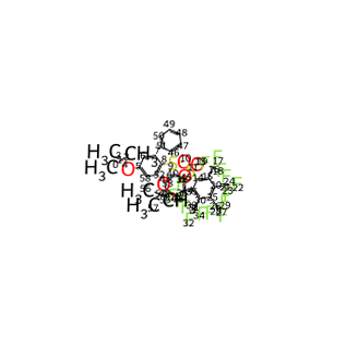 CC(C)(C)Oc1ccc(S(OS(=O)(=O)c2c(C(F)(F)F)c(C(F)(F)F)c(C(F)(F)F)c(C(F)(F)F)c2C(F)(F)F)(c2ccccc2)c2ccccc2)c(OC(C)(C)C)c1